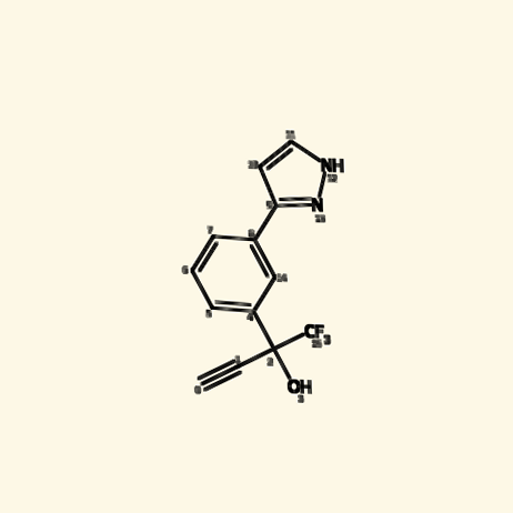 C#CC(O)(c1cccc(-c2cc[nH]n2)c1)C(F)(F)F